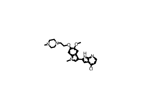 COc1cc2c(-c3cc4c(Cl)ccnc4[nH]3)cn(C)c2cc1OCCN1CCN(C)CC1